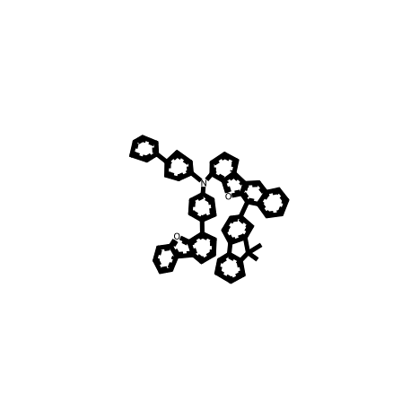 CC1(C)c2ccccc2-c2ccc(-c3c4ccccc4cc4c3oc3c(N(c5ccc(-c6ccccc6)cc5)c5ccc(-c6cccc7c6oc6ccccc67)cc5)cccc34)cc21